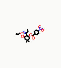 C=CCO/N=C(/CC)C1=C(OC(=O)c2ccc([N+](=O)[O-])cc2)CC(C)(C)CC1=O